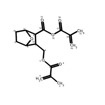 C=C(C)C(=O)OCC1C2CCC(O2)C1C(=O)OC(=O)C(=C)C